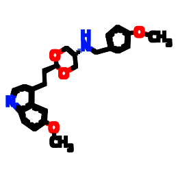 COc1ccc(CN[C@H]2CO[C@H](CCc3ccnc4ccc(OC)cc34)OC2)cc1